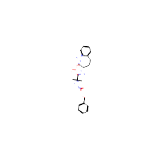 CC(C)(NC(=O)OCc1ccccc1)C(=O)N[C@@H]1CCc2ccccc2NC1=O